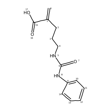 C=C(CCCNC(=O)Nc1ccccc1)C(=O)O